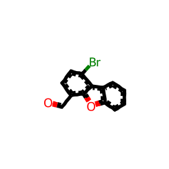 O=Cc1ccc(Br)c2c1oc1ccccc12